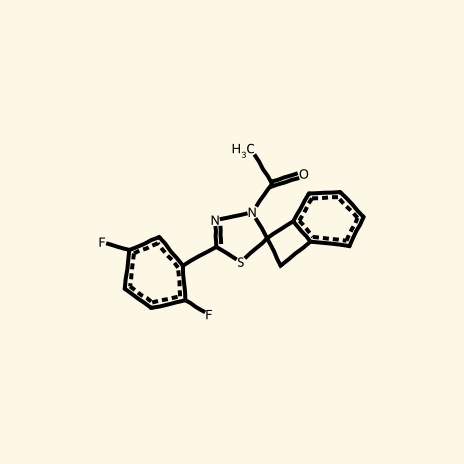 CC(=O)N1N=C(c2cc(F)ccc2F)SC12Cc1ccccc12